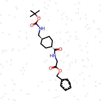 CC(C)(C)OC(=O)NC[C@H]1CC[C@H](C(=O)NCC(=O)OCc2ccccc2)CC1